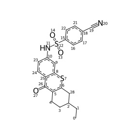 CCC1CCc2c(sc3cc(NS(=O)(=O)c4ccc(C#N)cc4)ccc3c2=O)C1